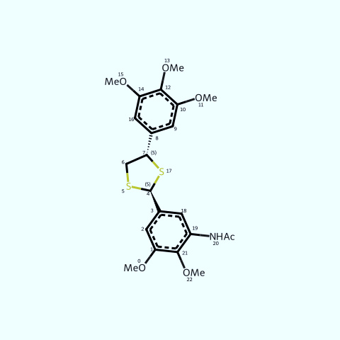 COc1cc([C@H]2SC[C@H](c3cc(OC)c(OC)c(OC)c3)S2)cc(NC(C)=O)c1OC